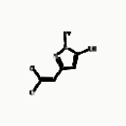 CC(C)n1nc(C=C(Cl)Cl)cc1O